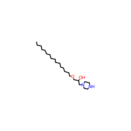 CCCCCCCCCCCCCCCCOCC(O)CN1CCNCC1